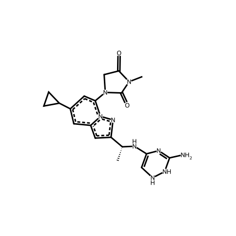 C[C@@H](NC1=CNNC(N)=N1)c1cc2cc(C3CC3)cc(N3CC(=O)N(C)C3=O)n2n1